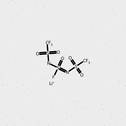 O=S(=O)(N=S(=O)(F)[N-]S(=O)(=O)C(F)(F)F)C(F)(F)F.[Li+]